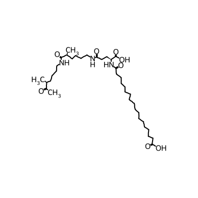 CC(=O)[C@@H](C)CCCCNC(=O)[C@@H](C)CCCCNC(=O)CC[C@H](NC(=O)CCCCCCCCCCCCCCCCC(=O)O)C(=O)O